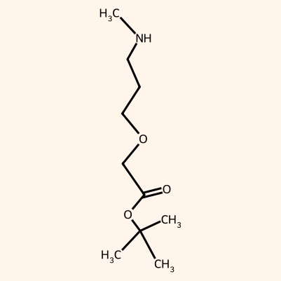 CNCCCOCC(=O)OC(C)(C)C